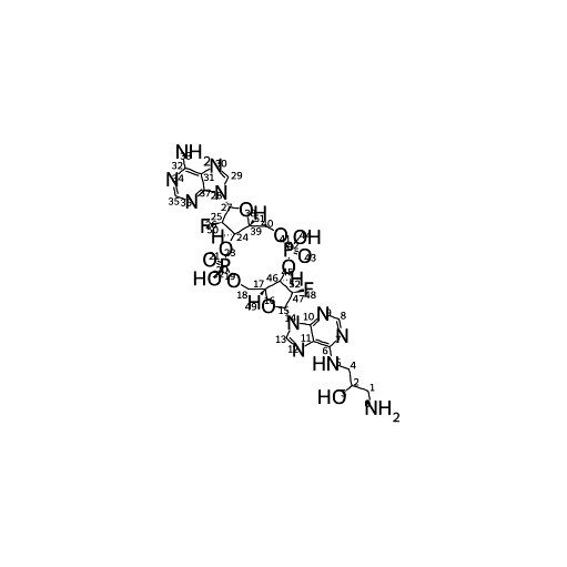 NCC(O)CNc1ncnc2c1ncn2[C@@H]1O[C@@H]2COP(=O)(O)O[C@H]3[C@@H](F)[C@H](n4cnc5c(N)ncnc54)O[C@@H]3COP(=O)(O)O[C@H]2[C@H]1F